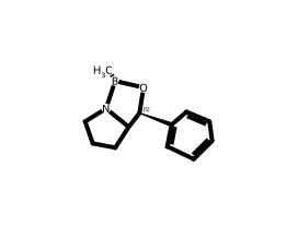 CB1O[C@@H](c2ccccc2)C2CCCN12